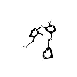 N#Cc1ccc(OCc2ccsc2)cc1Oc1cccc(CC(=O)O)c1F